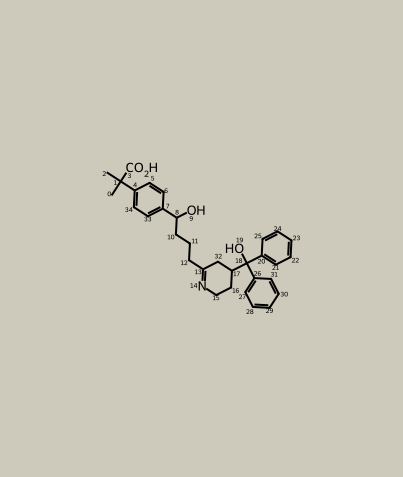 CC(C)(C(=O)O)c1ccc(C(O)CCCC2=NCCC(C(O)(c3ccccc3)c3ccccc3)C2)cc1